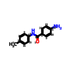 Cc1ccc(NC(=O)c2c[c]c(N)cc2)cc1